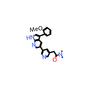 COc1ccccc1-c1c[nH]c2ncc(-c3cncc(CC(=O)N(C)C)c3)cc12